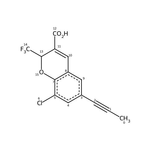 CC#Cc1cc(Cl)c2c(c1)C=C(C(=O)O)C(C(F)(F)F)O2